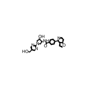 O=C(N[C@@H]1CN(c2ncc(CO)cn2)C[C@@H]1O)c1ccc(-c2nccc3occc23)cc1